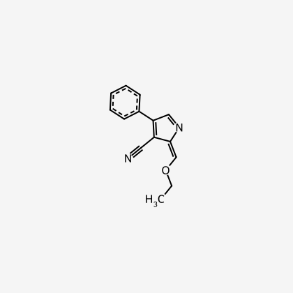 CCOC=C1N=CC(c2ccccc2)=C1C#N